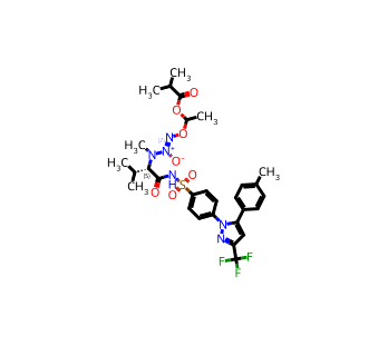 Cc1ccc(-c2cc(C(F)(F)F)nn2-c2ccc(S(=O)(=O)NC(=O)[C@H](C(C)C)N(C)/[N+]([O-])=N/OC(C)OC(=O)C(C)C)cc2)cc1